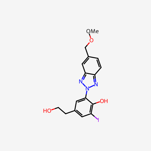 COOCc1ccc2nn(-c3cc(CCO)cc(I)c3O)nc2c1